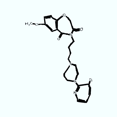 COc1ccc2c(c1)C(=O)N(CCCCN1CCN(c3ncccc3Cl)CC1)C(=O)CO2